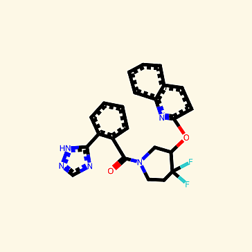 O=C(c1ccccc1-c1ncn[nH]1)N1CCC(F)(F)C(Oc2ccc3ccccc3n2)C1